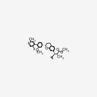 COC(=O)[C@@H](C)[C@H](c1ccc2c(c1)O[C@H](c1ccc(-c3cc(C)ncc3F)c(OC)c1)CC2)C1CC1